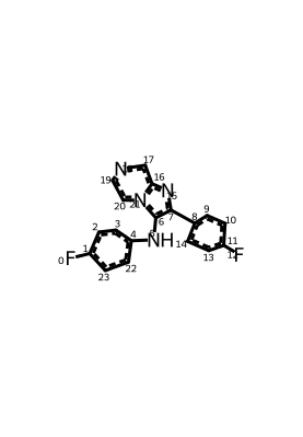 Fc1ccc(Nc2c(-c3ccc(F)cc3)nc3cnccn23)cc1